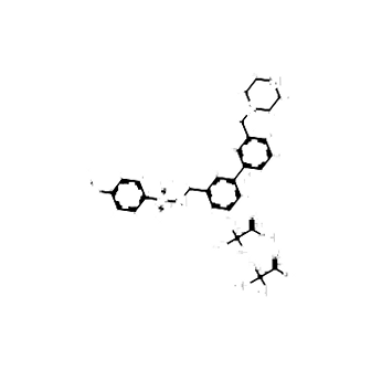 COc1ccc(S(=O)(=O)NCc2cccc(-c3cccc(CN4CCNCC4)c3)c2)cc1.O=C(O)C(F)(F)F.O=C(O)C(F)(F)F